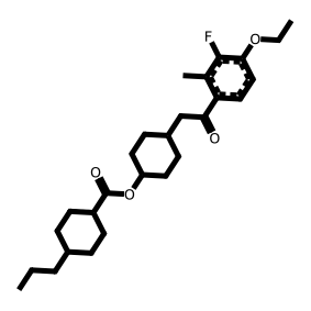 CCCC1CCC(C(=O)OC2CCC(CC(=O)c3ccc(OCC)c(F)c3C)CC2)CC1